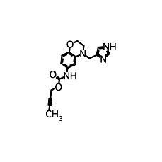 CC#CCOC(=O)Nc1ccc2c(c1)N(Cc1c[nH]cn1)CCO2